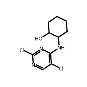 OC1CCCCC1Nc1nc(Cl)ncc1Cl